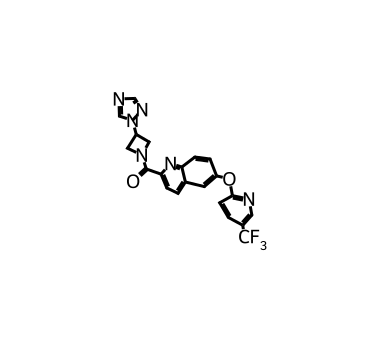 O=C(c1ccc2cc(Oc3ccc(C(F)(F)F)cn3)ccc2n1)N1CC(n2cncn2)C1